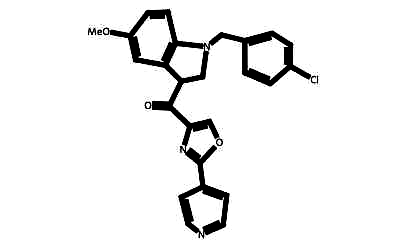 COc1ccc2c(c1)C(C(=O)c1coc(-c3ccncc3)n1)CN2Cc1ccc(Cl)cc1